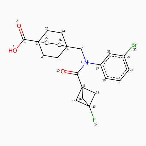 O=C(O)C12CCC(CN(C(=O)C34CC(F)(C3)C4)c3cccc(Br)c3)(CC1)CC2